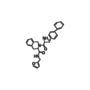 NC(Cc1ccc(-c2ccccc2)cc1)C(=O)N1Cc2ccccc2CC1C(=O)NCc1ccco1